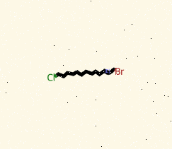 ClCCCCCCCCCC/C=C/CBr